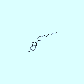 CCCCCCCC1CC=C(c2ccc3cc(CC)ccc3c2)CC1